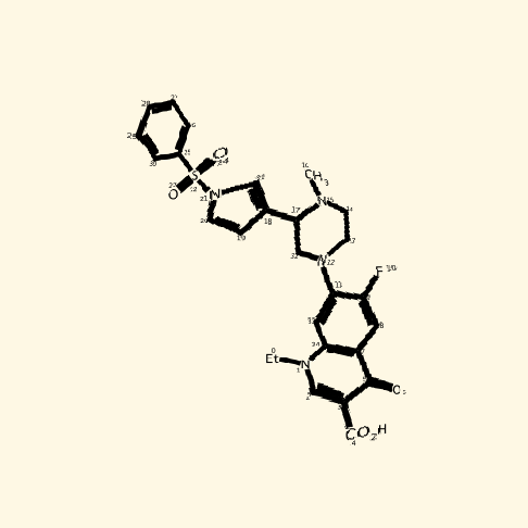 CCn1cc(C(=O)O)c(=O)c2cc(F)c(N3CCN(C)C(c4ccn(S(=O)(=O)c5ccccc5)c4)C3)cc21